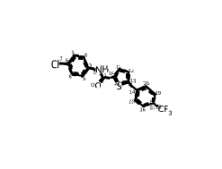 O=C(Nc1ccc(Cl)cc1)c1ccc(-c2ccc(C(F)(F)F)cc2)s1